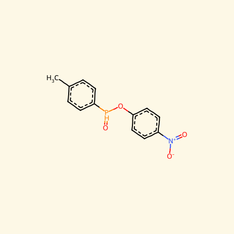 Cc1ccc([PH](=O)Oc2ccc([N+](=O)[O-])cc2)cc1